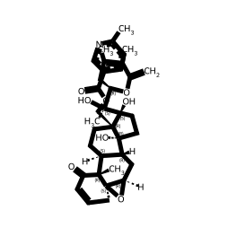 C=C1O[C@@H]([C@](C)(O)[C@]2(O)CC[C@@]3(O)[C@@H]4C[C@H]5O[C@]56CC=CC(=O)[C@]6(C)[C@H]4CC[C@]23COC(=O)c2ccc(C)nc2)CC(C)=C1C